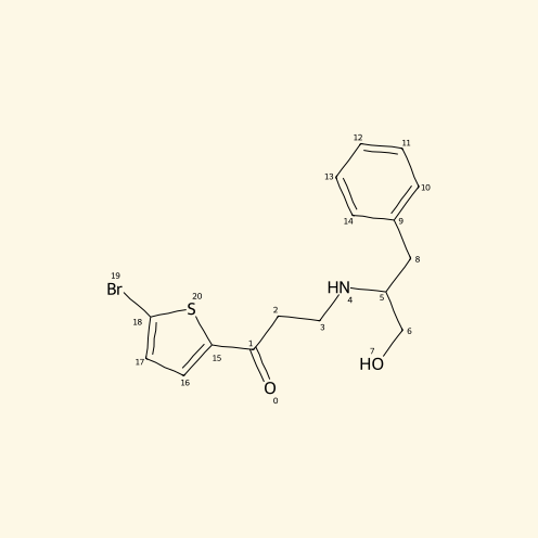 O=C(CCNC(CO)Cc1ccccc1)c1ccc(Br)s1